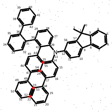 CC1(C)c2ccccc2-c2ccc(N(c3ccc(-c4ccccc4)cc3)c3cccc(-c4ccccc4-c4ccccc4)c3-c3ccc(-c4ccccc4)cc3)cc21